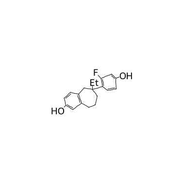 CCC1(c2ccc(O)cc2F)CCCc2cc(O)ccc2C1